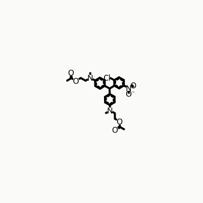 CC(=O)OCCN(C)c1ccc(C(c2ccc(N(C)CCOC(C)=O)cc2)c2cc([N+](=O)[O-])ccc2Cl)cc1